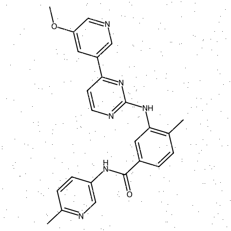 COc1cncc(-c2ccnc(Nc3cc(C(=O)Nc4ccc(C)nc4)ccc3C)n2)c1